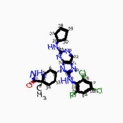 C[C@]1(C(N)=O)CC[C@H](n2c(Nc3c(F)cc(Cl)cc3Cl)nc3cnc(NC4CCCC4)nc32)CC1